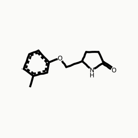 Cc1[c]ccc(OCC2CCC(=O)N2)c1